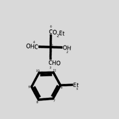 CCOC(=O)C(O)(C=O)C=O.CCc1ccccc1